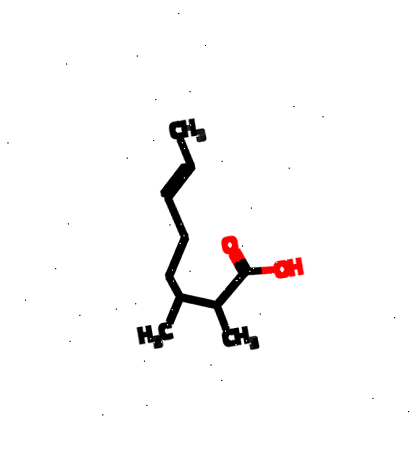 CC=CCCC(C)C(C)C(=O)O